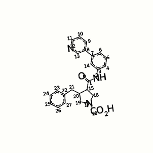 O=C(Nc1cccc(-c2cccnc2)c1)C1CN(C(=O)O)CC1Cc1ccccc1